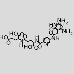 Nc1nc(N)c(CC(=O)Nc2ccc(C(=O)NC(CCC(=O)NC(CCC(=O)O)C(=O)O)C(=O)O)nc2)c(=O)[nH]1